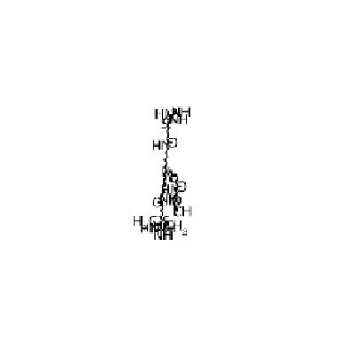 C#CCOCCNC(=O)c1ccc(CN(CCCCCCCNC(=O)CCCCC(SC)C2NC(=N)NC2C)CCCCCCNC(=O)CCCCC2SCC3NC(=N)NC32)cc1